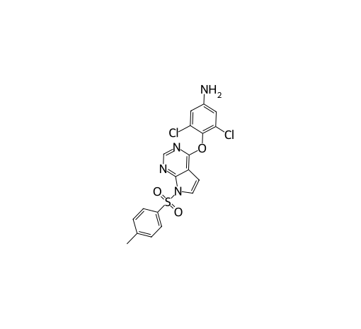 Cc1ccc(S(=O)(=O)n2ccc3c(Oc4c(Cl)cc(N)cc4Cl)ncnc32)cc1